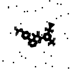 CC(NC(=O)c1cc(C(F)(F)F)cc(C(F)(F)C2CC2)c1)c1nccnc1-c1ccc(OC(F)F)cn1